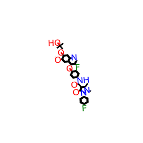 COc1cc2c(Oc3ccc(NC(=O)c4c(C)n(C)n(-c5ccc(F)cc5)c4=O)cc3F)ccnc2cc1OCC(C)(C)O